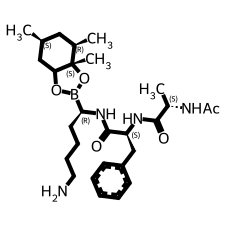 CC(=O)N[C@@H](C)C(=O)N[C@@H](Cc1ccccc1)C(=O)N[C@@H](CCCCN)B1OC2C[C@@H](C)C[C@@H](C)[C@]2(C)O1